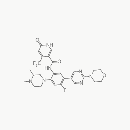 CC1CN(c2cc(F)c(-c3cnc(N4CCOCC4)nc3)cc2NC(=O)c2c[nH]c(=O)cc2C(F)(F)F)CCN1C